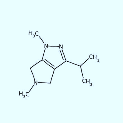 CC(C)c1nn(C)c2c1CN(C)C2